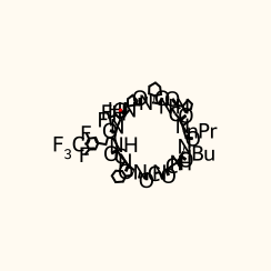 CCC[C@H]1C(=O)N[C@@H]([C@@H](C)CC)C(=O)N(C)CC(=O)N(C)CC(=O)N(C)[C@@H](CC2CCCCC2)C(=O)N(C)CC(=O)N[C@@H](CCc2cc(F)c(C(F)(F)F)c(F)c2)C(=O)N2CC(F)(F)C[C@H]2C(=O)NC2(CCCC2)C(=O)N(C)[C@@H](C2CCCCC2)C(=O)N(C)[C@H](C(=O)N2CCCC2)CC(=O)N1C